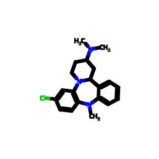 CN1c2ccccc2C2CC(N(C)C)CCN2c2cc(Cl)ccc21